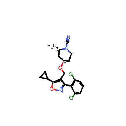 C[C@@H]1C[C@H](OCc2c(-c3c(Cl)cccc3Cl)noc2C2CC2)CCN1C#N